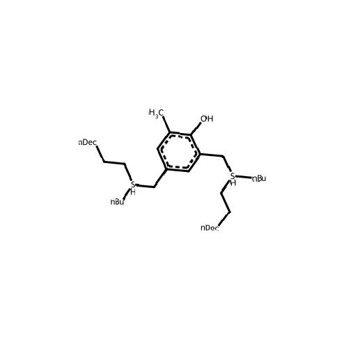 CCCCCCCCCCCC[SH](CCCC)Cc1cc(C)c(O)c(C[SH](CCCC)CCCCCCCCCCCC)c1